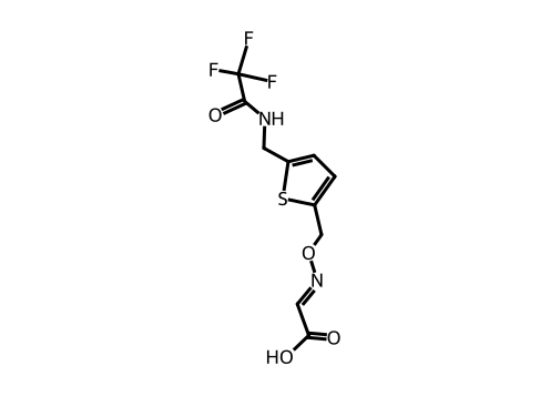 O=C(O)C=NOCc1ccc(CNC(=O)C(F)(F)F)s1